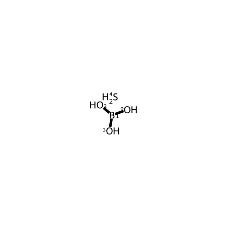 OB(O)O.S